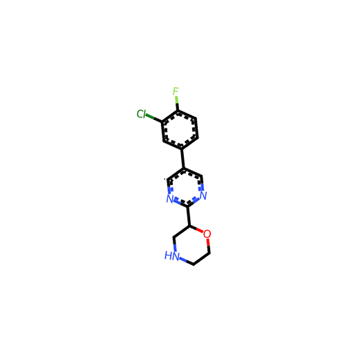 Fc1ccc(-c2[c]nc(C3CNCCO3)nc2)cc1Cl